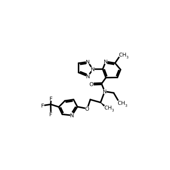 CCN(C(=O)c1ccc(C)nc1-n1nccn1)[C@@H](C)COc1ccc(C(F)(F)F)cn1